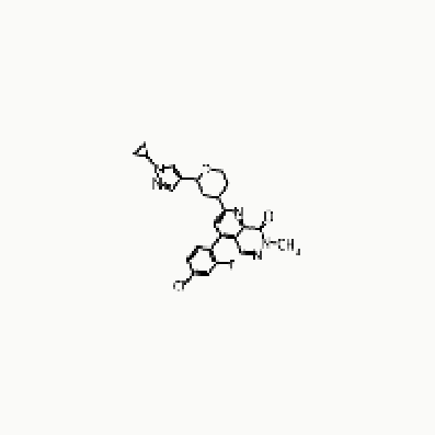 Cn1ncc2c(-c3ccc(Cl)cc3F)cc(C3CCOC(c4cnn(C5CC5)c4)C3)nc2c1=O